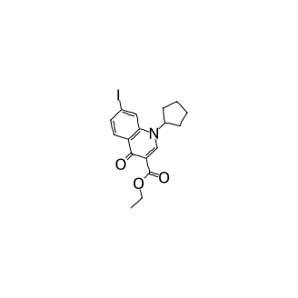 CCOC(=O)c1cn(C2CCCC2)c2cc(I)ccc2c1=O